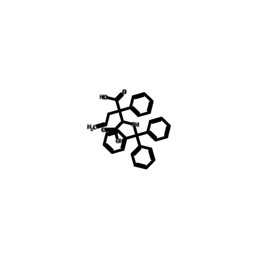 C=CCC(C(=O)O)(c1ccccc1)C(NC(c1ccccc1)(c1ccccc1)c1ccccc1)C(=O)O